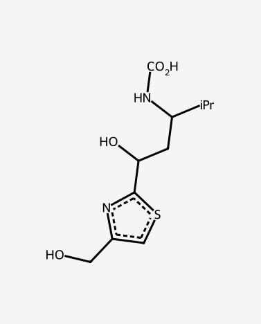 CC(C)C(CC(O)c1nc(CO)cs1)NC(=O)O